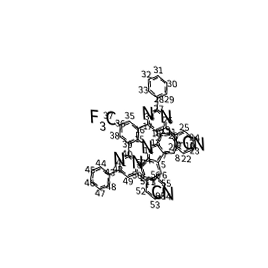 N#Cc1ccc2c(c1)c1cc(C#N)ccc1n2-c1c(-c2cc(-c3ccccc3)nc(-c3ccccc3)n2)cc(C(F)(F)F)cc1-c1nc(-c2ccccc2)cc(-c2ccccc2)n1